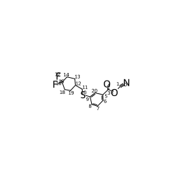 N#COC(=O)c1cccc(SCC2CCC(F)(F)CC2)c1